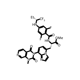 CC[C@@H](Nc1cc(F)c(C(=O)N[C@@H](Cc2ccc(-n3c(=O)c4ccncc4n(C)c3=O)c3nccn23)C(=O)OC)c(F)c1)C(F)(F)F